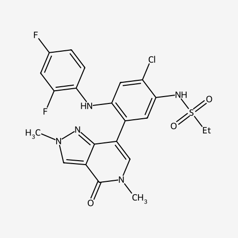 CCS(=O)(=O)Nc1cc(-c2cn(C)c(=O)c3cn(C)nc23)c(Nc2ccc(F)cc2F)cc1Cl